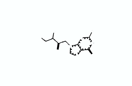 Nc1nc2c(ncn2CC(=O)C(S)CO)c(=O)[nH]1